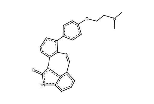 CN(C)CCOc1ccc(-c2cccc3c2N=Cc2cccc4[nH]c(=O)n-3c24)cc1